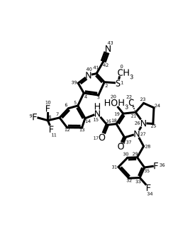 CSc1cc(-c2cc(C(F)(F)F)ccc2NC(=O)C2=C(O)[C@@]3(C)CCCN3N(Cc3cccc(F)c3F)C2=O)cnc1C#N